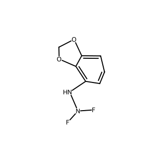 FN(F)Nc1cccc2c1OCO2